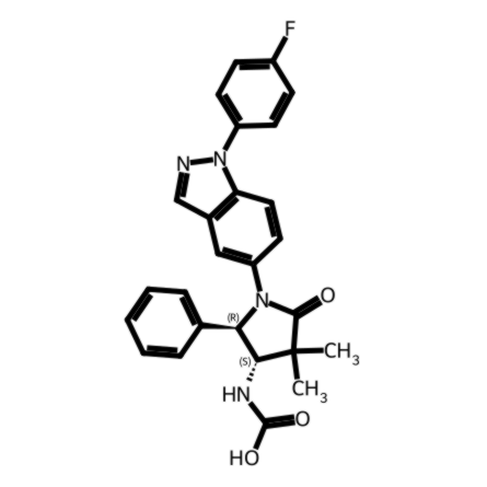 CC1(C)C(=O)N(c2ccc3c(cnn3-c3ccc(F)cc3)c2)[C@H](c2ccccc2)[C@H]1NC(=O)O